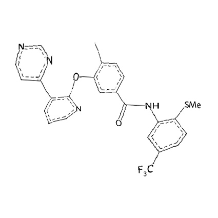 CSc1ccc(C(F)(F)F)cc1NC(=O)c1ccc(C)c(Oc2ncccc2-c2ccncn2)c1